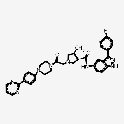 C[C@@H]1CN(CC(=O)N2CCN(c3ccc(-c4ncccn4)cc3)CC2)C[C@@H]1C(=O)Nc1ccc2[nH]nc(-c3ccc(F)cc3)c2c1